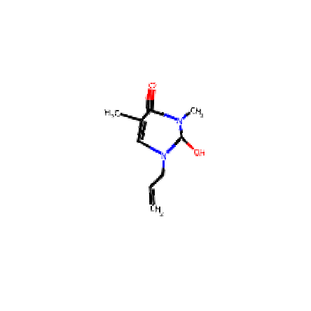 C=CCN1C=C(C)C(=O)N(C)C1O